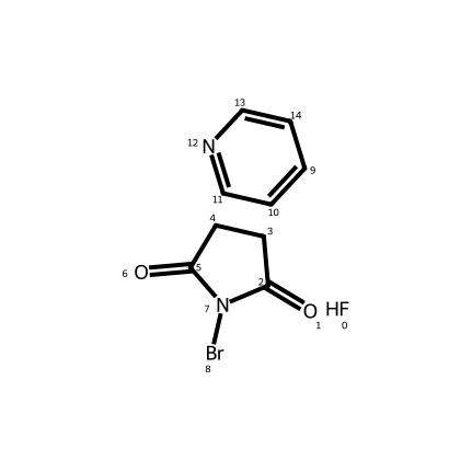 F.O=C1CCC(=O)N1Br.c1ccncc1